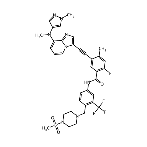 Cc1cc(F)c(C(=O)Nc2ccc(CN3CCN(S(C)(=O)=O)CC3)c(C(F)(F)F)c2)cc1C#Cc1cnc2c(N(C)c3cnn(C)c3)cccn12